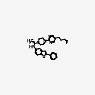 C=C(Nc1ccc2oc(-c3ccccc3)cc2c1)N1CCN(c2ncc(CCCF)cn2)CC1